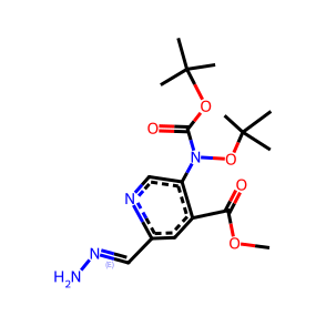 COC(=O)c1cc(/C=N/N)ncc1N(OC(C)(C)C)C(=O)OC(C)(C)C